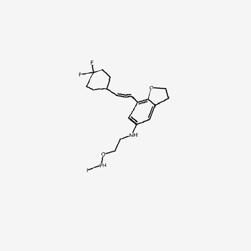 FC1(F)CCC(/C=C/c2cc(NCCOPI)cc3c2OCC3)CC1